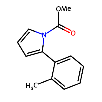 COC(=O)n1cccc1-c1ccccc1C